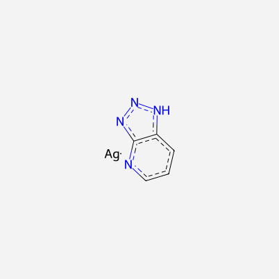 [Ag].c1cnc2nn[nH]c2c1